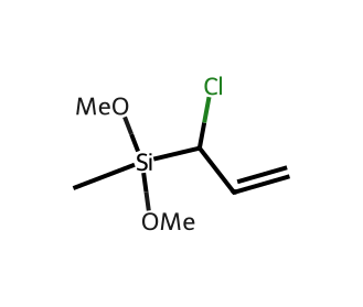 C=CC(Cl)[Si](C)(OC)OC